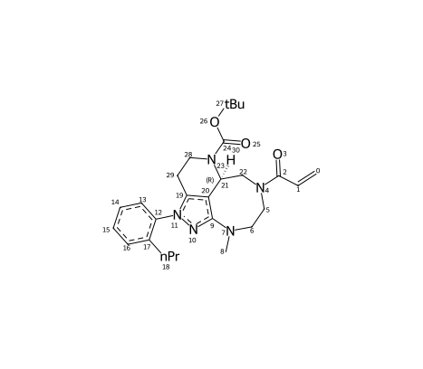 C=CC(=O)N1CCN(C)c2nn(-c3ccccc3CCC)c3c2[C@H](C1)N(C(=O)OC(C)(C)C)CC3